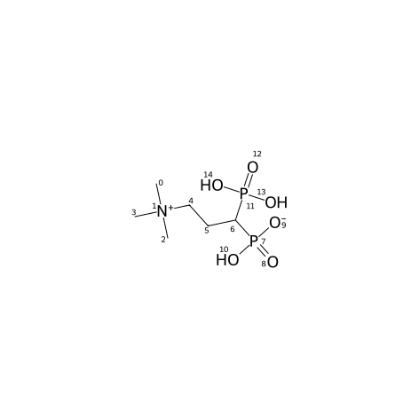 C[N+](C)(C)CCC(P(=O)([O-])O)P(=O)(O)O